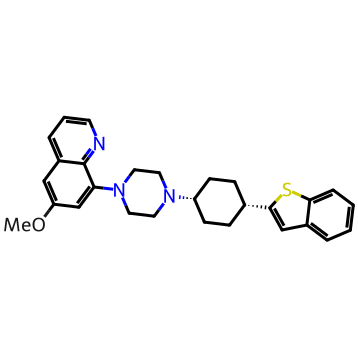 COc1cc(N2CCN([C@H]3CC[C@@H](c4cc5ccccc5s4)CC3)CC2)c2ncccc2c1